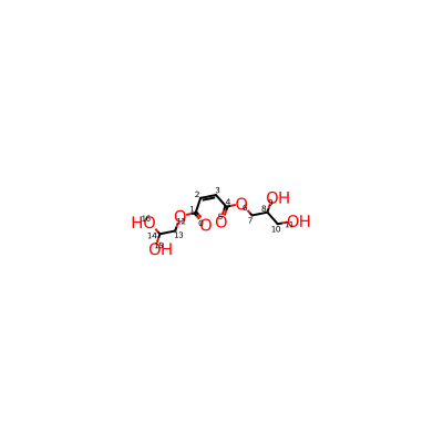 O=C(/C=C\C(=O)OCC(O)CO)OCC(O)O